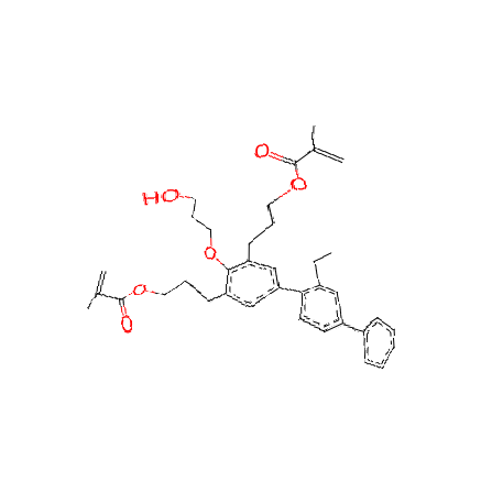 C=C(C)C(=O)OCCCc1cc(-c2ccc(-c3ccccc3)cc2CC)cc(CCCOC(=O)C(=C)C)c1OCCCO